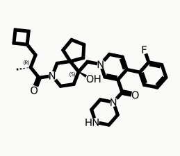 C[C@H](CC1CCC1)C(=O)N1CC[C@@](O)(CN2C=C(C(=O)N3CCNCC3)C(c3ccccc3F)=CC2)C2(CCCC2)C1